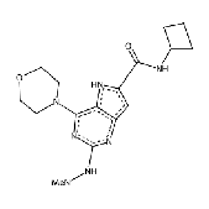 CNNc1nc(N2CCOCC2)c2[nH]c(C(=O)NC3CCC3)cc2n1